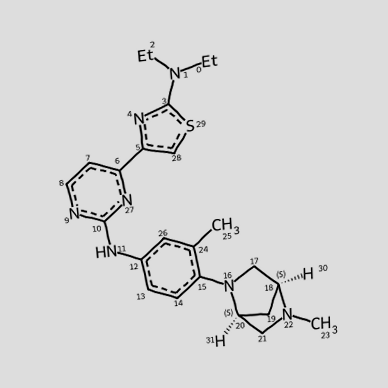 CCN(CC)c1nc(-c2ccnc(Nc3ccc(N4C[C@@H]5C[C@H]4CN5C)c(C)c3)n2)cs1